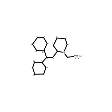 O=C(O)CN1CCCCC1CC(C1CCCCC1)C1CCCCC1